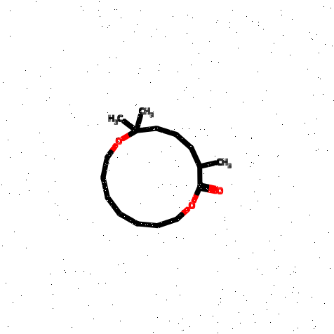 CC1CCCC(C)(C)OCCCCCCCOC1=O